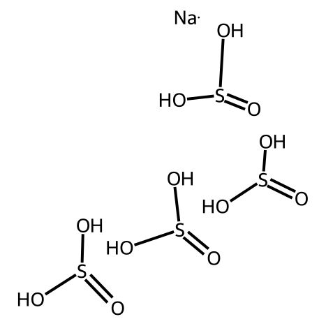 O=S(O)O.O=S(O)O.O=S(O)O.O=S(O)O.[Na]